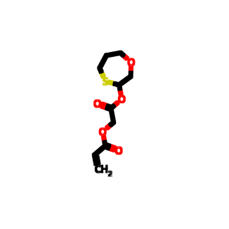 C=CC(=O)OCC(=O)OC1COCCCS1